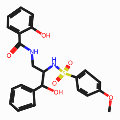 COc1ccc(S(=O)(=O)NC(CNC(=O)c2ccccc2O)C(O)c2ccccc2)cc1